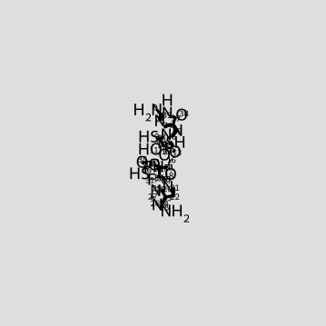 Nc1nc2c(ncn2[C@H](S)[C@@H](O)P(=O)(S)OC[C@H]2O[C@@H](n3ccc4c(N)ncnc43)[C@@H](F)C2O[PH](=O)S)c(=O)[nH]1